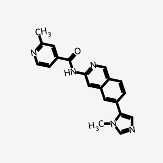 Cc1cc(C(=O)Nc2cc3cc(-c4cncn4C)ccc3cn2)ccn1